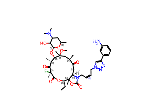 CC[C@H]1OC(=O)[C@@](C)(F)C(=O)[C@H](C)[C@@H](O[C@@H]2O[C@H](C)CC(N(C)C)C2O)[C@](C)(OC)C[C@@H](C)C(=O)[C@H](C)[C@H]2N(C/C=C\Cn3cc(-c4cccc(N)c4)nn3)C(=O)O[C@]12C